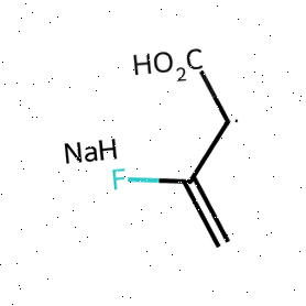 C=C(F)[CH]C(=O)O.[NaH]